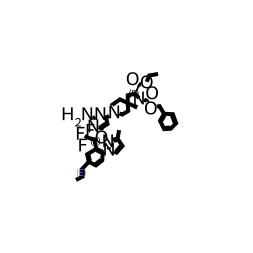 C/C=C/c1ccc(-n2ccc(C)n2)c([C@@H](Oc2cc(N3CCC4(CC3)C[C@@H](C(=O)OCC)N(C(=O)OCc3ccccc3)C4)nc(N)n2)C(F)(F)F)c1